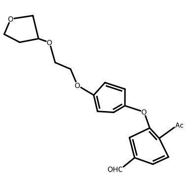 CC(=O)c1ccc(C=O)cc1Oc1ccc(OCCOC2CCOC2)cc1